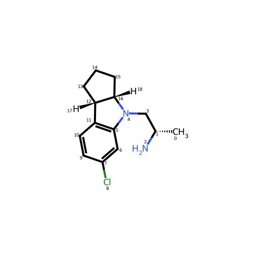 C[C@H](N)CN1c2cc(Cl)ccc2[C@@H]2CCC[C@@H]21